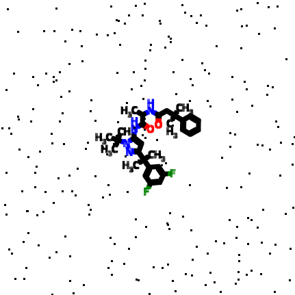 CC(NC(=O)CC(C)(C)c1ccccc1)C(=O)Nc1cc(C(C)(C)c2cc(F)cc(F)c2)nn1C(C)(C)C